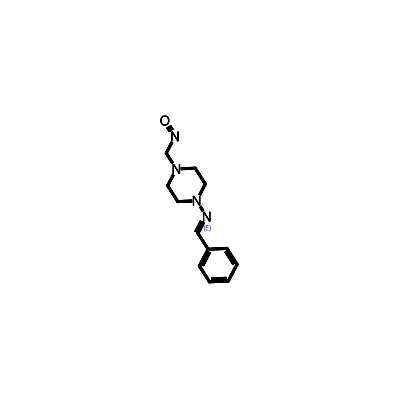 O=NCN1CCN(/N=C/c2ccccc2)CC1